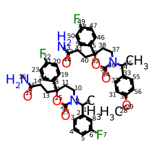 CC(c1cccc(F)c1)N1CCC(CCC(N)=O)(c2ccc(F)cc2)OC1=O.COc1ccc(C(C)N2CCC(CCC(N)=O)(c3ccc(F)cc3)OC2=O)cc1